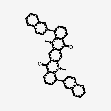 Cn1c2cc3c(=O)c4cccc(-c5ccc6ccccc6c5)c4n(C)c3cc2c(=O)c2cccc(-c3ccc4ccccc4c3)c21